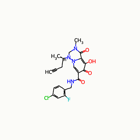 C#CC[C@@H](C)N1CN(C)C(=O)c2c(O)c(=O)c(C(=O)NCc3ccc(Cl)cc3F)cn21